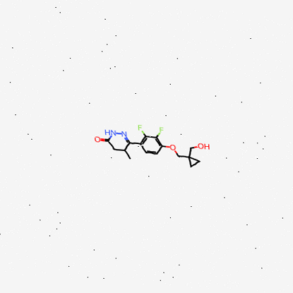 CC1CC(=O)NN=C1c1ccc(OCC2(CO)CC2)c(F)c1F